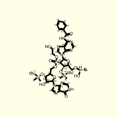 CC(C)(C)[Si](C)(C)O[C@@H]1C(COP(=O)(OCCC#N)[C@H]2C(n3cnc4c(NC(=O)c5ccccc5)ncnc43)OC(CO[PH](=O)O)[C@H]2O[Si](C)(C)C(C)(C)C)OC(n2cnc3c(=O)[nH]cnc32)[C@@H]1O